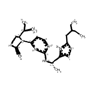 CC(C)Cc1noc([C@H](C)Nc2nccc(N3C(=O)OCC3C(C)C)n2)n1